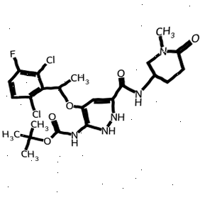 CC(OC1=C(NC(=O)OC(C)(C)C)NNC(C(=O)NC2CCC(=O)N(C)C2)=C1)c1c(Cl)ccc(F)c1Cl